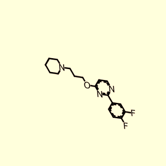 Fc1ccc(-c2nccc(OCCCN3CCCCC3)n2)cc1F